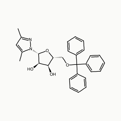 Cc1cc(C)n([C@@H]2O[C@H](COC(c3ccccc3)(c3ccccc3)c3ccccc3)[C@@H](O)[C@H]2O)n1